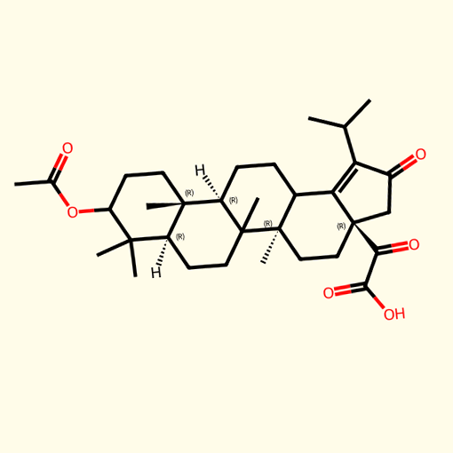 CC(=O)OC1CC[C@@]2(C)[C@@H](CCC3(C)[C@@H]2CCC2C4=C(C(C)C)C(=O)C[C@]4(C(=O)C(=O)O)CC[C@]23C)C1(C)C